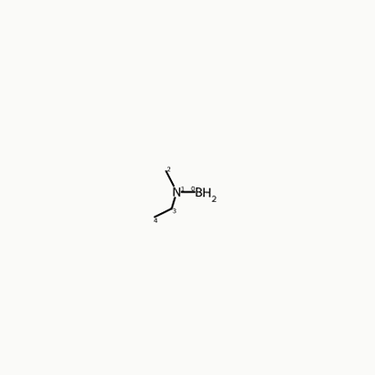 BN(C)CC